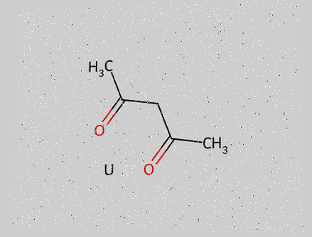 CC(=O)CC(C)=O.[U]